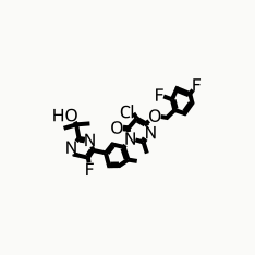 Cc1ccc(-c2nc(C(C)(C)O)ncc2F)cc1-n1c(C)nc(OCc2ccc(F)cc2F)c(Cl)c1=O